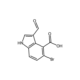 O=Cc1c[nH]c2ccc(Br)c(C(=O)O)c12